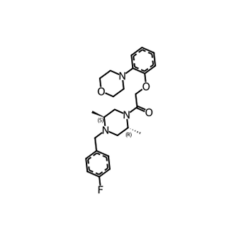 C[C@@H]1CN(Cc2ccc(F)cc2)[C@@H](C)CN1C(=O)COc1ccccc1N1CCOCC1